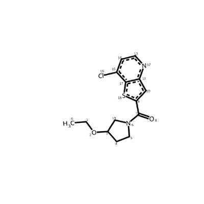 CCOC1CCN(C(=O)c2cc3nccc(Cl)c3s2)C1